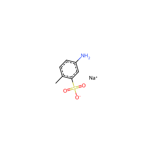 Cc1ccc(N)cc1S(=O)(=O)[O-].[Na+]